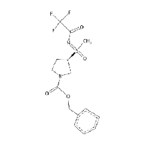 CS(=O)(=NC(=O)C(F)(F)F)[C@@H]1CCN(C(=O)OCc2ccccc2)C1